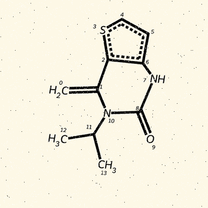 C=C1c2sccc2NC(=O)N1C(C)C